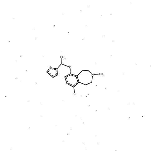 CC(Oc1ccc(Cl)c2c1CCN(C)CC2)c1cccs1